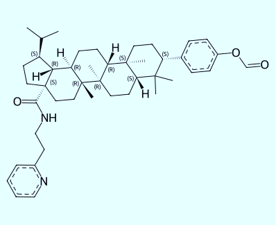 CC(C)[C@@H]1CC[C@]2(C(=O)NCCc3ccccn3)CC[C@]3(C)[C@H](CC[C@@H]4[C@@]5(C)CC[C@H](c6ccc(OC=O)cc6)C(C)(C)[C@@H]5CC[C@]43C)[C@@H]12